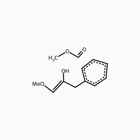 COC=C(O)Cc1ccccc1.COC=O